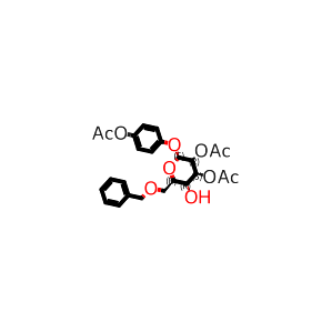 CC(=O)Oc1ccc(O[C@@H]2O[C@H](COCc3ccccc3)[C@@H](O)[C@H](OC(C)=O)[C@H]2OC(C)=O)cc1